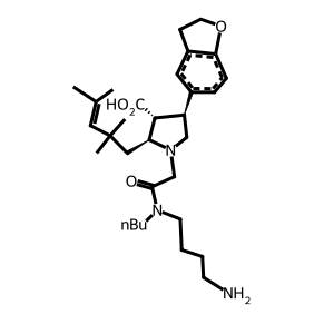 CCCCN(CCCCN)C(=O)CN1C[C@H](c2ccc3c(c2)CCO3)[C@@H](C(=O)O)[C@@H]1CC(C)(C)C=C(C)C